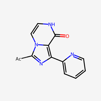 CC(=O)c1nc(-c2ccccn2)c2c(=O)[nH]ccn12